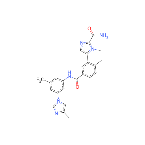 Cc1cn(-c2cc(NC(=O)c3ccc(C)c(-c4cnc(C(N)=O)n4C)c3)cc(C(F)(F)F)c2)cn1